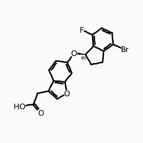 O=C(O)Cc1coc2cc(O[C@@H]3CCc4c(Br)ccc(F)c43)ccc12